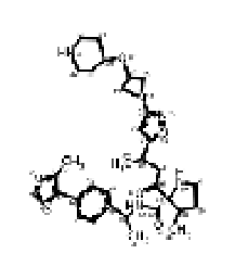 Cc1ncsc1-c1ccc([C@H](C)NC(=O)[C@]2(C(=O)CC(C)c3cc(N4CC(OC5CCNCC5)C4)no3)NCCC2C)cc1